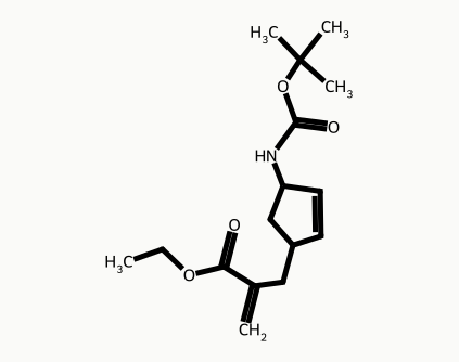 C=C(CC1C=CC(NC(=O)OC(C)(C)C)C1)C(=O)OCC